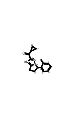 Cc1ccccc1C1CCc2nc(C(=O)C3CC3)nn21